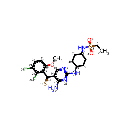 CCS(=O)(=O)NC1CCC(Nc2ncc(C(=S)c3c(OC)ccc(F)c3F)c(N)n2)CC1